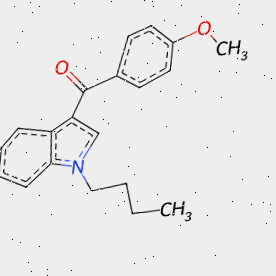 CCCCn1cc(C(=O)c2ccc(OC)cc2)c2ccccc21